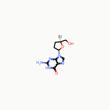 CC[C@@]1(CO)CC[C@H](n2cnc3c(=O)[nH]c(N)nc32)O1